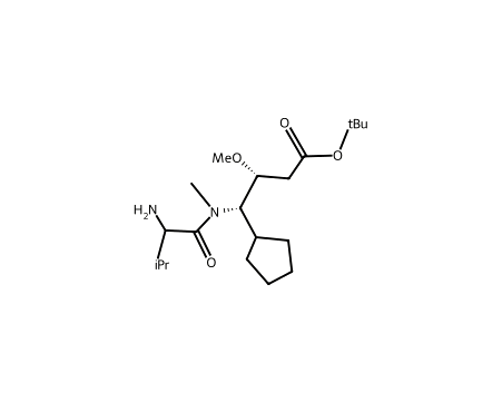 CO[C@H](CC(=O)OC(C)(C)C)[C@H](C1CCCC1)N(C)C(=O)C(N)C(C)C